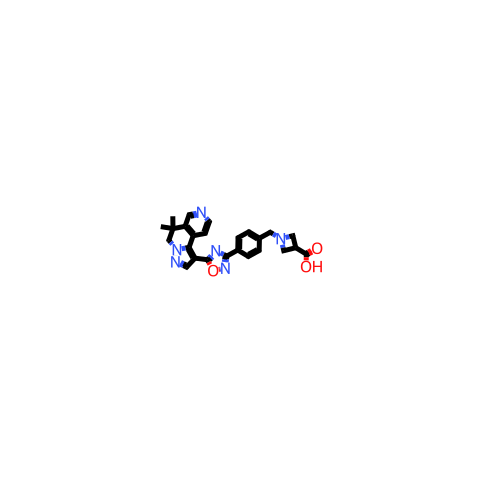 CC1(C)Cn2ncc(-c3nc(-c4ccc(CN5CC(C(=O)O)C5)cc4)no3)c2-c2ccncc21